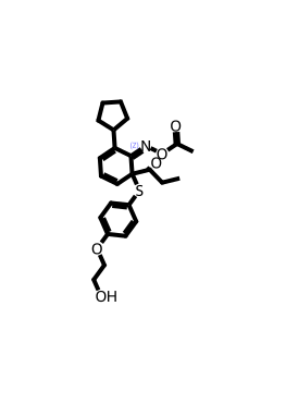 CCC(=O)C1(Sc2ccc(OCCO)cc2)C=CC=C(C2CCCC2)/C1=N/OC(C)=O